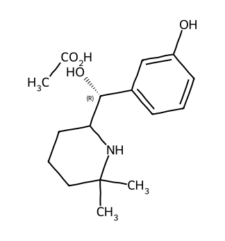 CC(=O)O.CC1(C)CCCC([C@H](O)c2cccc(O)c2)N1